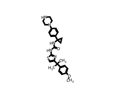 COc1ccc(C(C)(C)c2csc(NC(=O)NC3(c4ccc(N5CCNCC5)cc4)CC3)n2)cc1